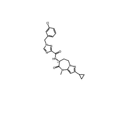 CN1C(=O)[C@@H](NC(=O)c2ncn(Cc3cccc(Cl)c3)n2)CCn2nc(C3CC3)cc21